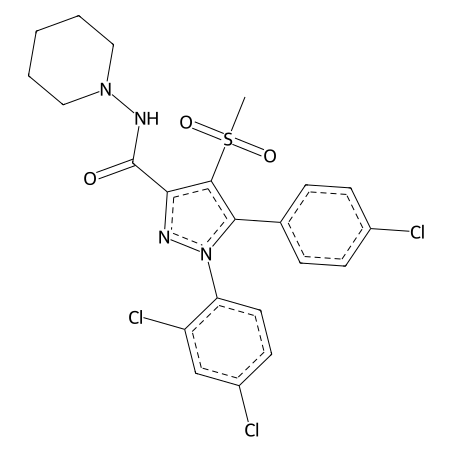 CS(=O)(=O)c1c(C(=O)NN2CCCCC2)nn(-c2ccc(Cl)cc2Cl)c1-c1ccc(Cl)cc1